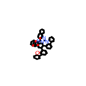 c1ccc(-c2cc(-c3ccccc3)nc(-n3c4ccccc4c4cccc(-c5cc6c(cc5-c5cccc7c5oc5ccccc57)c5ccccc5n6-c5ccccc5)c43)n2)cc1